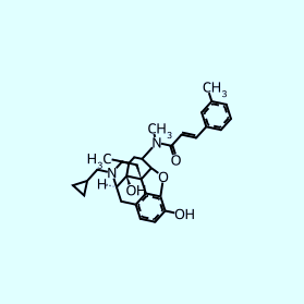 Cc1cccc(/C=C/C(=O)N(C)C2CC(C)[C@@]3(O)[C@H]4Cc5ccc(O)c6c5[C@@]3(CCN4CC3CC3)C2O6)c1